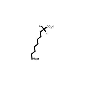 CCCCCCCCCCCCCCC(Cl)(Cl)C(=O)O